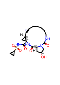 O=C1N[C@]2(C(=O)NS(=O)(=O)C3CC3)C[C@H]2/C=C\CCCCCNC(=O)N2C[C@H](O)C[C@@H]12